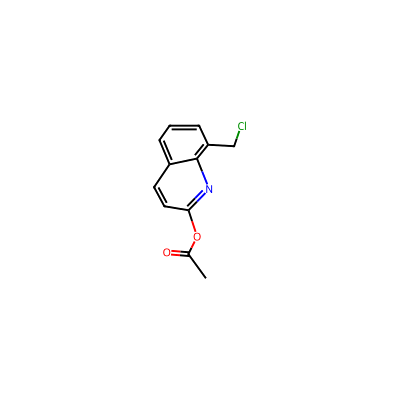 CC(=O)Oc1ccc2cccc(CCl)c2n1